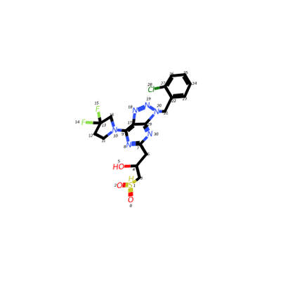 O=[SH](=O)CC(O)Cc1nc(N2CCC(F)(F)C2)c2nnn(Cc3ccccc3Cl)c2n1